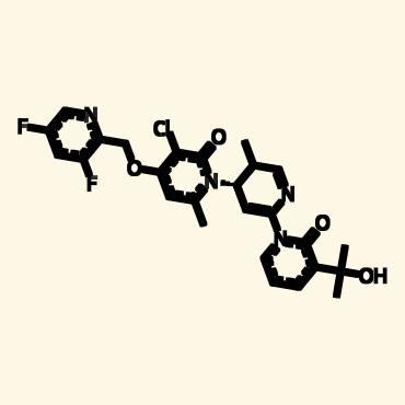 Cc1cc(OCc2ncc(F)cc2F)c(Cl)c(=O)n1[C@H]1C=C(n2cccc(C(C)(C)O)c2=O)N=CC1C